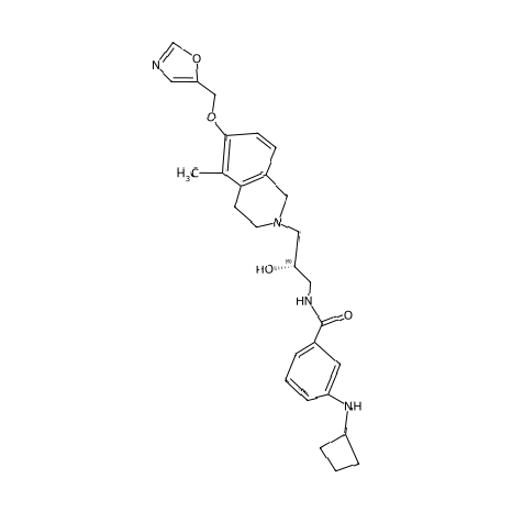 Cc1c(OCc2cnco2)ccc2c1CCN(C[C@@H](O)CNC(=O)c1cccc(NC3CCC3)c1)C2